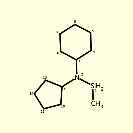 C[SiH2]N(C1CCCCC1)C1CCCC1